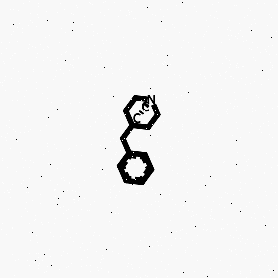 c1ccc(CC23CCN(CC2)CC3)cc1